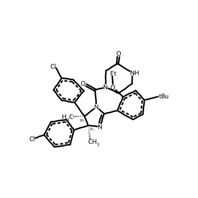 CCOc1cc(C(C)(C)C)ccc1C1=N[C@@](C)(c2ccc(Cl)cc2)[C@@](C)(c2ccc(Cl)cc2)N1C(=O)N1CCNC(=O)C1